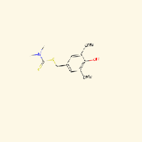 COc1cc(CSC(=S)N(C)C)cc(OC)c1O